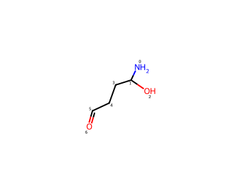 NC(O)CCC=O